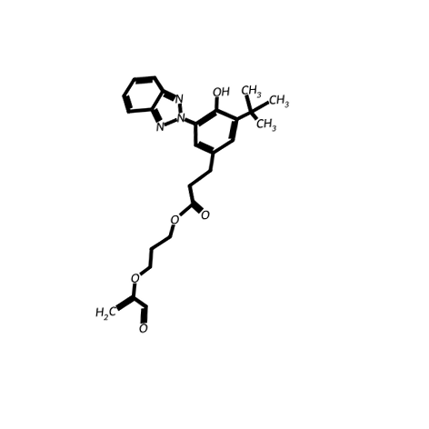 C=C(C=O)OCCCOC(=O)CCc1cc(-n2nc3ccccc3n2)c(O)c(C(C)(C)C)c1